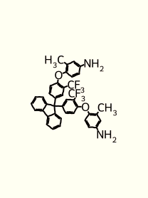 Cc1cc(N)ccc1Oc1ccc(C2(c3ccc(Oc4ccc(N)cc4C)c(C(F)(F)F)c3)c3ccccc3-c3ccccc32)cc1C(F)(F)F